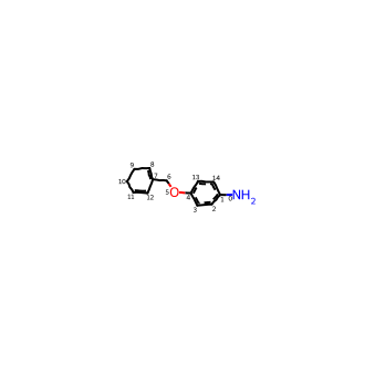 Nc1ccc(OCC2=CCCC=C2)cc1